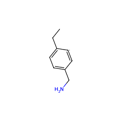 CCc1[c]cc(CN)cc1